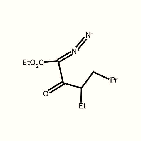 CCOC(=O)C(=[N+]=[N-])C(=O)C(CC)CC(C)C